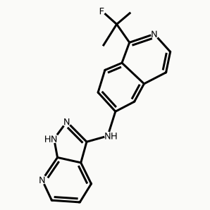 CC(C)(F)c1nccc2cc(Nc3n[nH]c4ncccc34)ccc12